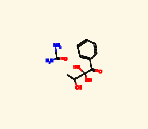 CC(O)C(O)(O)C(=O)c1ccccc1.NC(N)=O